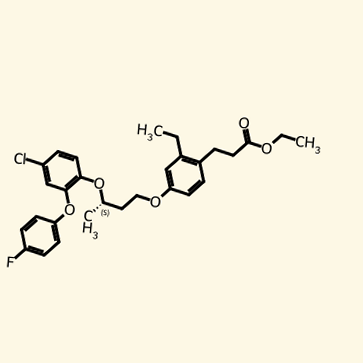 CCOC(=O)CCc1ccc(OCC[C@H](C)Oc2ccc(Cl)cc2Oc2ccc(F)cc2)cc1CC